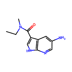 CCN(C)C(=O)c1c[nH]c2ncc(N)cc12